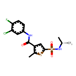 Cc1sc(S(=O)(=O)N[C@H](C)C(F)(F)F)cc1C(=O)Nc1ccc(F)c(Cl)c1